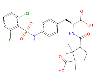 CC1(C(=O)O)CCC(C(=O)N[C@@H](Cc2ccc(NS(=O)(=O)c3c(Cl)cccc3Cl)cc2)C(=O)O)C1(C)C